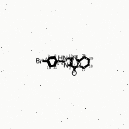 O=c1c2nc(-c3ccc(Br)cc3)[nH]c2nc2n1CCCC2